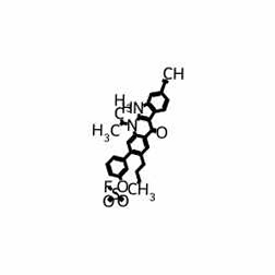 C#Cc1ccc2c(c1)[nH]c1c2c(=O)c2cc(CCCC)c(-c3cccc(OS(=O)(=O)F)c3)cc2n1C(C)C